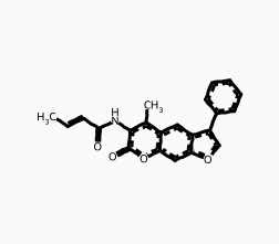 C/C=C/C(=O)Nc1c(C)c2cc3c(-c4ccccc4)coc3cc2oc1=O